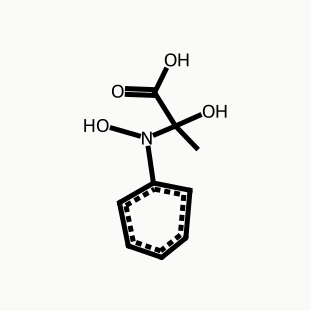 CC(O)(C(=O)O)N(O)c1ccccc1